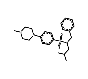 CC(C)CN(Cc1ccccc1)S(=O)(=O)c1ccc(N2CCN(C)CC2)cc1